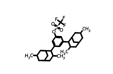 CC1CC2CC(C)C(c3cc(OS(=O)(=O)C(F)(F)F)cc(C4C(C)CC5CC(C)CC4C5)c3)C(C1)C2